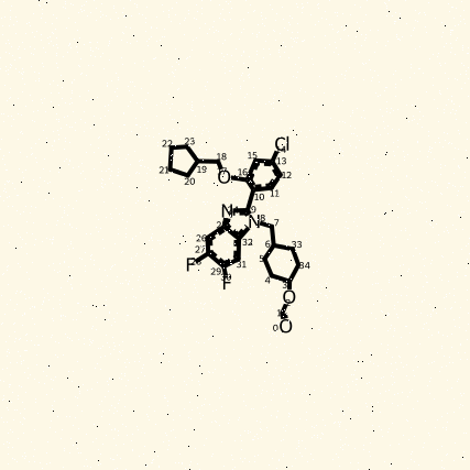 O=COC1CCC(Cn2c(-c3ccc(Cl)cc3OCC3CCCC3)nc3cc(F)c(F)cc32)CC1